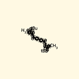 CC1C[C@@H](C(=O)COC(=O)c2ccc(-c3ccc(C(=O)COC(=O)[C@@H]4CCC(C)N4C(=O)OC(C)(C)C)cc3)cc2)N(C(=O)OC(C)(C)C)C1